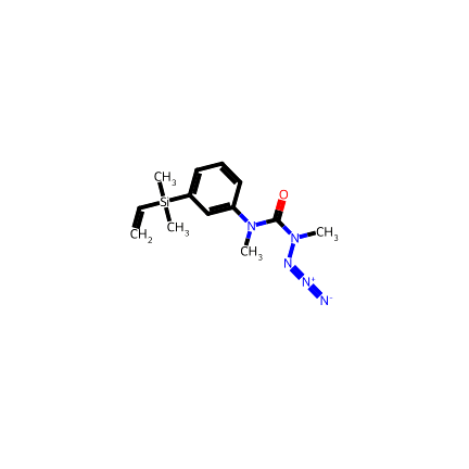 C=C[Si](C)(C)c1cccc(N(C)C(=O)N(C)N=[N+]=[N-])c1